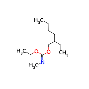 CCCCC(CC)COC(=NC)OCC